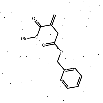 C=C(CC(=O)OCc1ccccc1)C(=O)OC(C)(C)C